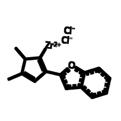 CC1=CC(c2cc3ccccc3o2)=[C]([Zr+2])C1C.[Cl-].[Cl-]